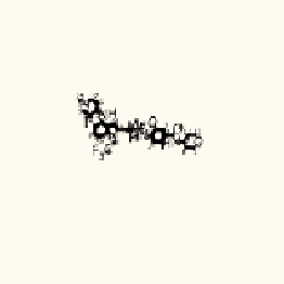 COc1cc(C(=O)NC2CCOCC2)ccc1NCC#Cc1cc2c(N[C@H]3CCN(C)C[C@H]3F)cccc2n1CC(F)(F)F